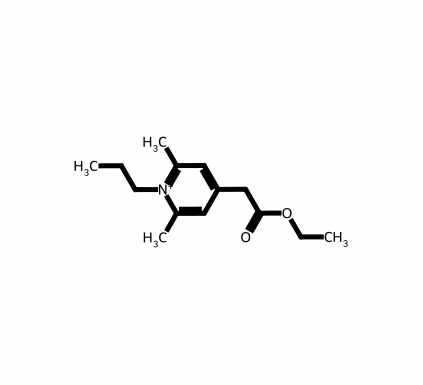 CCC[n+]1c(C)cc(CC(=O)OCC)cc1C